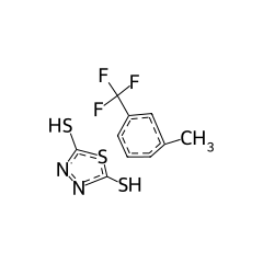 Cc1cccc(C(F)(F)F)c1.Sc1nnc(S)s1